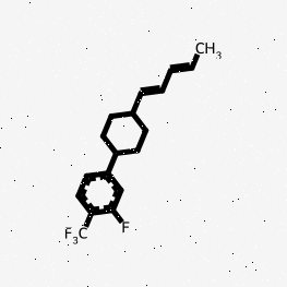 C/C=C/C=C/C1CCC(c2ccc(C(F)(F)F)c(F)c2)CC1